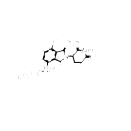 CCOC(=O)Nc1ccc(I)c2c1CN(C1CCC(=O)NC1=O)C2=O